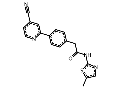 Cc1cnc(NC(=O)Cc2ccc(-c3cc(C#N)ccn3)cc2)s1